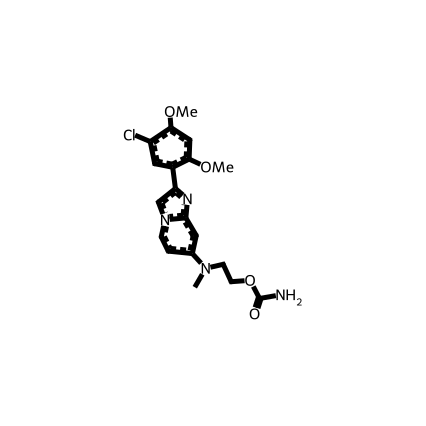 COc1cc(OC)c(-c2cn3ccc(N(C)CCOC(N)=O)cc3n2)cc1Cl